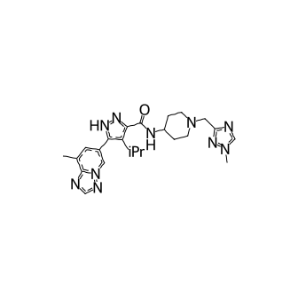 Cc1cc(-c2[nH]nc(C(=O)NC3CCN(Cc4ncn(C)n4)CC3)c2C(C)C)cn2ncnc12